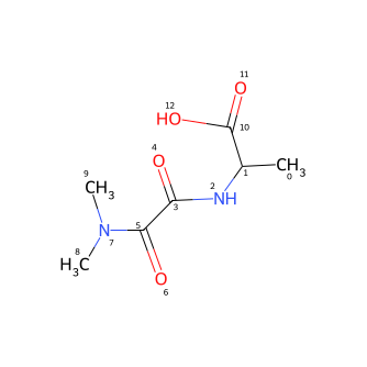 CC(NC(=O)C(=O)N(C)C)C(=O)O